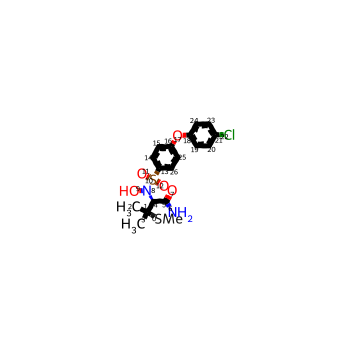 CSC(C)(C)[C@H](C(N)=O)N(O)S(=O)(=O)c1ccc(Oc2ccc(Cl)cc2)cc1